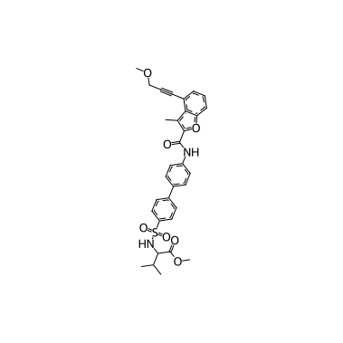 COCC#Cc1cccc2oc(C(=O)Nc3ccc(-c4ccc(S(=O)(=O)NC(C(=O)OC)C(C)C)cc4)cc3)c(C)c12